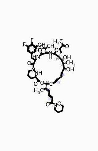 CC(=O)CC[C@H]1C(=O)N[C@@H](C(C)C)C(=O)NC(Cc2cc(O)c(F)c(F)c2)C(=O)N2CCCC(N2)C(=O)O[C@H](/C(C)=C/C=C/C(=O)N2CCCCO2)C/C=C/C=C/[C@H](O)[C@H](C)[C@H]1O